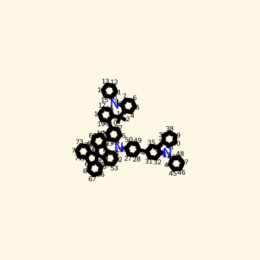 CC1(C)c2ccccc2N(c2ccccc2)c2cccc(-c3ccc(N(c4ccc(-c5ccc6c(c5)c5ccccc5n6-c5ccccc5)cc4)c4cccc5c4-c4ccccc4C54c5ccccc5-c5ccccc54)cc3)c21